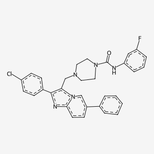 O=C(Nc1cccc(F)c1)N1CCN(Cc2c(-c3ccc(Cl)cc3)nc3ccc(-c4ccccc4)cn23)CC1